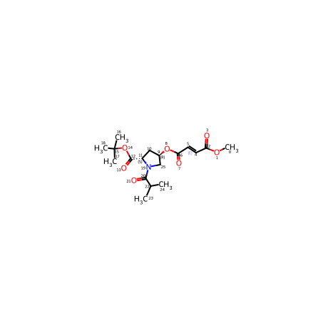 COC(=O)/C=C/C(=O)O[C@@H]1C[C@@H](C(=O)OC(C)(C)C)N(C(=O)C(C)C)C1